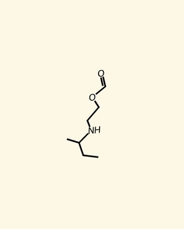 CCC(C)NCCOC=O